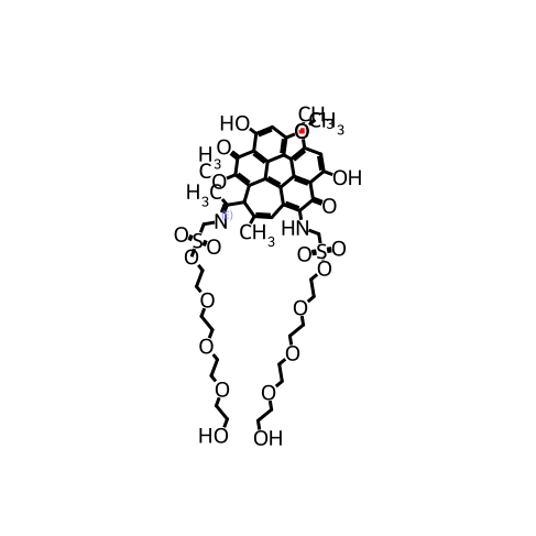 COc1c2c3c4c(c(NCS(=O)(=O)OCCOCCOCCOCCO)c(=O)c5c(O)cc(OC)c(c6c(OC)cc(O)c(c1=O)c63)c54)C=C(C)C2/C(C)=N/CS(=O)(=O)OCCOCCOCCOCCO